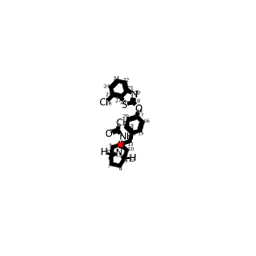 CC(=O)N[C@H]1C[C@H]2CC[C@@H](C1)N2CCc1ccc(Oc2nc3cccc(Cl)c3s2)cc1